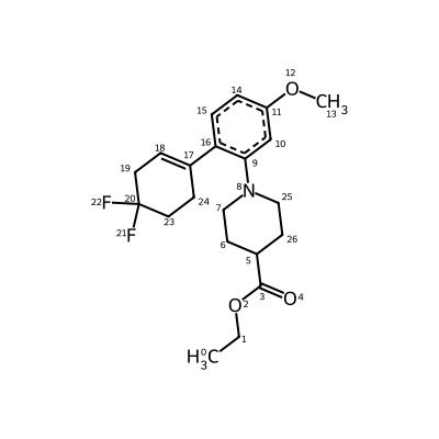 CCOC(=O)C1CCN(c2cc(OC)ccc2C2=CCC(F)(F)CC2)CC1